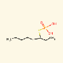 CCCCCC(CC)SP(=O)(O)O